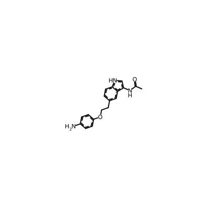 CC(=O)Nc1c[nH]c2ccc(CCOc3ccc(N)cc3)cc12